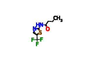 CCCC(=O)Nc1ncc(C(F)(F)F)s1